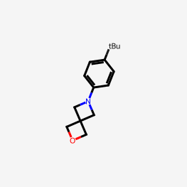 CC(C)(C)c1ccc(N2CC3(COC3)C2)cc1